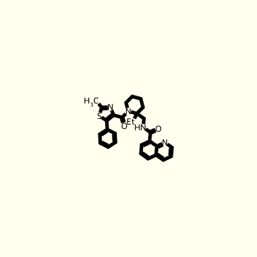 CCC1(CNC(=O)c2cccc3cccnc23)CCCCN1C(=O)c1nc(C)sc1-c1ccccc1